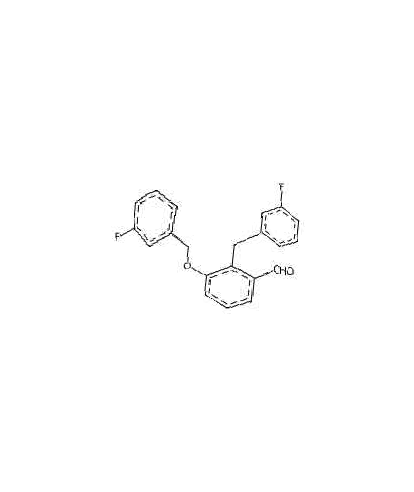 O=Cc1cccc(OCc2cccc(F)c2)c1Cc1cccc(F)c1